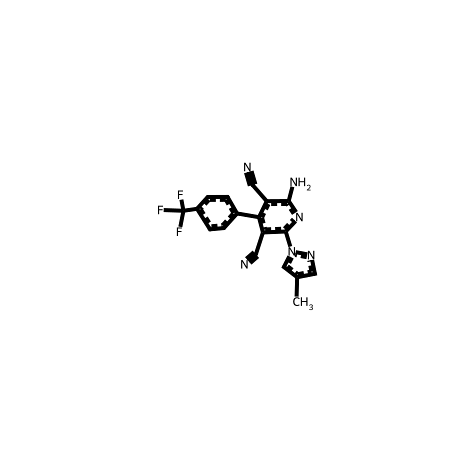 Cc1cnn(-c2nc(N)c(C#N)c(-c3ccc(C(F)(F)F)cc3)c2C#N)c1